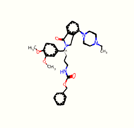 CCN1CCN(c2cccc3c2CN([C@H](CCCNC(=O)OCc2ccccc2)c2ccc(OC)c(OC)c2)C3=O)CC1